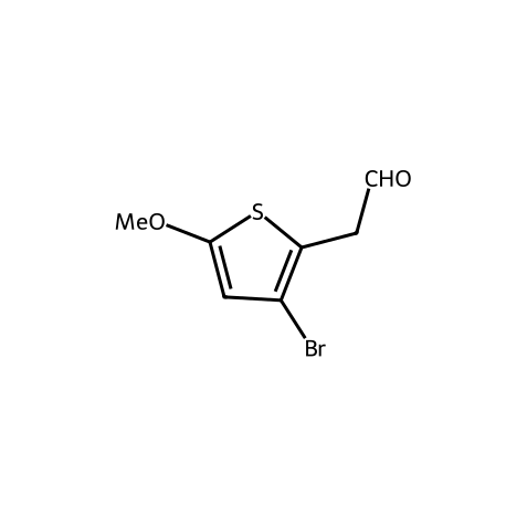 COc1cc(Br)c(CC=O)s1